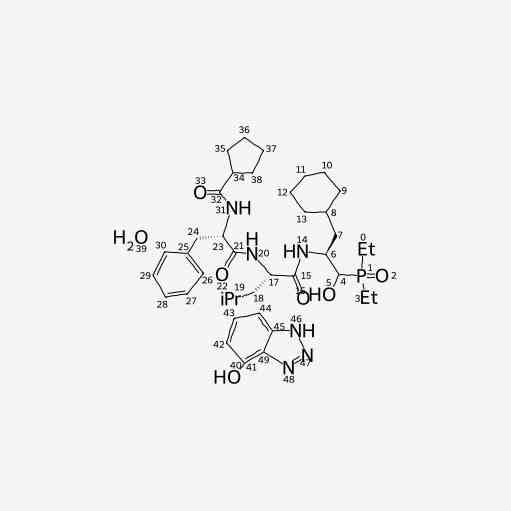 CCP(=O)(CC)C(O)[C@H](CC1CCCCC1)NC(=O)[C@H](CC(C)C)NC(=O)[C@H](Cc1ccccc1)NC(=O)C1CCCC1.O.Oc1cccc2[nH]nnc12